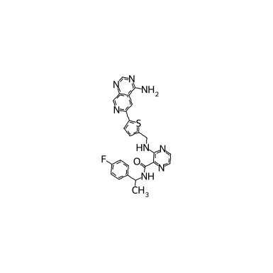 CC(NC(=O)c1nccnc1NCc1ccc(-c2cc3c(N)ncnc3cn2)s1)c1ccc(F)cc1